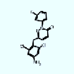 Nc1cc(Cl)c(Cc2ccc(=O)n(-c3cccc(F)c3)n2)c(Cl)c1